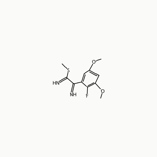 COc1cc(OC)c(F)c(C(=N)C(=N)SC)c1